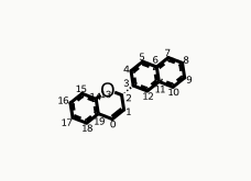 C1=C[C@@H](c2ccc3ccccc3c2)Oc2ccccc21